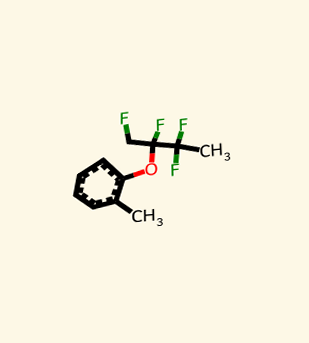 Cc1ccccc1OC(F)(CF)C(C)(F)F